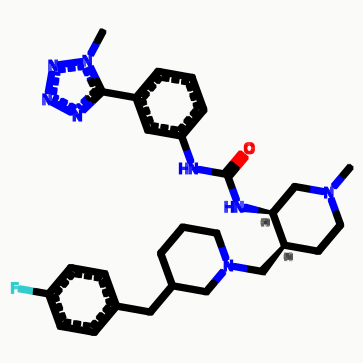 CN1CC[C@@H](CN2CCCC(Cc3ccc(F)cc3)C2)[C@@H](NC(=O)Nc2cccc(-c3nnnn3C)c2)C1